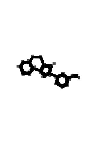 Nc1cccc(-c2nc3n(n2)CCc2ccccc2-3)c1